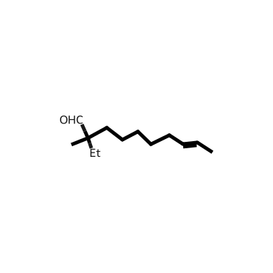 CC=CCCCCCC(C)(C=O)CC